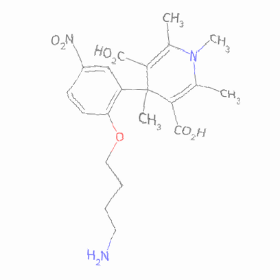 CC1=C(C(=O)O)C(C)(c2cc([N+](=O)[O-])ccc2OCCCCN)C(C(=O)O)=C(C)N1C